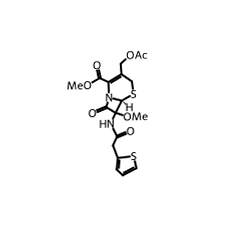 COC(=O)C1=C(COC(C)=O)CS[C@@H]2N1C(=O)C2(NC(=O)Cc1cccs1)OC